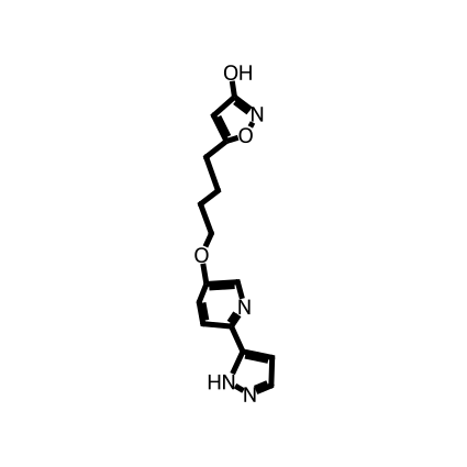 Oc1cc(CCCCOc2ccc(-c3ccn[nH]3)nc2)on1